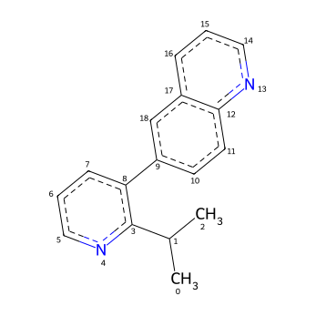 CC(C)c1ncccc1-c1ccc2ncccc2c1